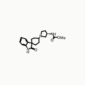 COC(=O)N[C@@H]1CCN(C2CCC3(CC2)C(=O)Nc2ccccc23)C1